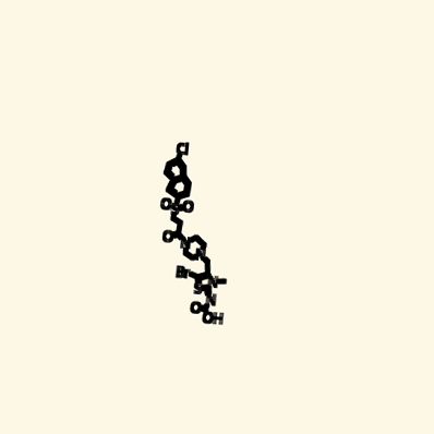 Cn1c(CN2CCN(C(=O)CCS(=O)(=O)c3ccc4cc(Cl)ccc4c3)CC2)c(Br)sc1=NC(=O)O